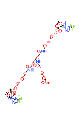 CC1(C)O[C@@H]2[C@H](O1)[C@@H](Nc1nccc(C(F)(F)F)n1)CO[C@@H]2COCCOCCOCCOCCNC(=O)CCOCC(COCCC(=O)NCCOCCOCCOCCOC[C@H]1OC[C@H](Nc2nccc(C(F)(F)F)n2)[C@H]2OC(C)(C)O[C@H]21)NC(=O)COCCOCCOCC(=O)O